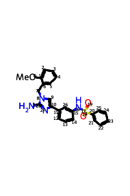 COc1ccccc1Cn1cc(-c2cccc(NS(=O)(=O)c3ccccc3)c2)nc1N